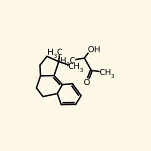 CC(=O)C(C)O.CC1(C)CCC2CCC3C=CC=CC3=C21